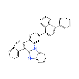 c1ccc(-c2ccc(-c3ccc4c5ccc6ccccc6c5c5nc6ccccc6n5c4c3)c3ccccc23)cc1